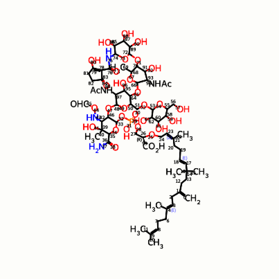 C=C(C/C=C(\C)CCC=C(C)C)CCC(C)(C)/C=C/CC/C(C)=C\CO[C@H](COP(=O)(O)OC1OC(C(N)=O)C(C)(O)C(NOC=O)C1OC1OC(COC2OC(CO)C(O)C(O)C2O)C(OC2OC(C)C(OC3OC(NC(=O)C4=C(O)CCC4=O)C(O)C(O)C3O)C(O)C2NC(C)=O)C(O)C1NC(C)=O)C(=O)O